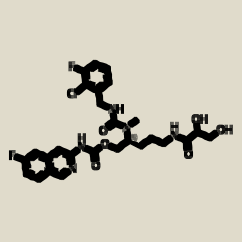 CN(C(=O)NCc1cccc(F)c1Cl)[C@@H](CCCNC(=O)C(O)CO)COC(=O)Nc1cc2cc(F)ccc2cn1